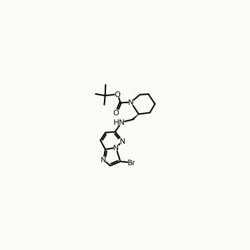 CC(C)(C)OC(=O)N1CCCC[C@H]1CNc1ccc2ncc(Br)n2n1